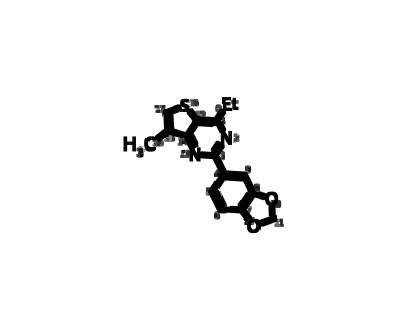 CCc1nc(-c2ccc3c(c2)OCO3)nc2c(C)csc12